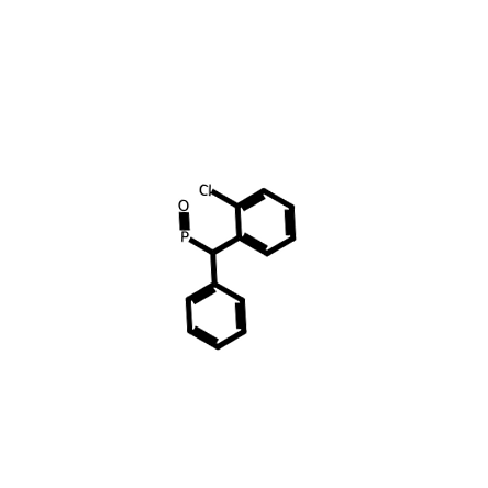 O=PC(c1ccccc1)c1ccccc1Cl